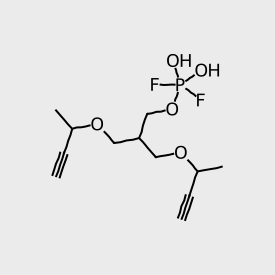 C#CC(C)OCC(COC(C)C#C)COP(O)(O)(F)F